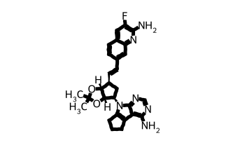 CC1(C)O[C@@H]2[C@H](O1)[C@@H](/C=C/c1ccc3cc(F)c(N)nc3c1)C[C@H]2n1c2c(c3c(N)ncnc31)CCC2